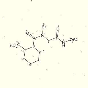 CCN(CC(=O)NOC(C)=O)C(=O)C1CCCCC1C(=O)O